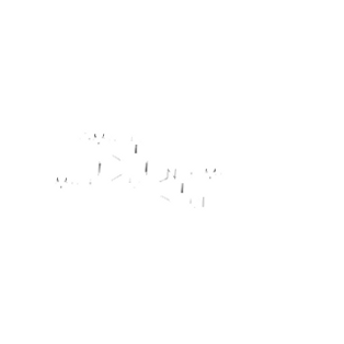 COc1cc(OC)c2c(=O)cc(-c3ccc(O)c(OC)n3)oc2c1